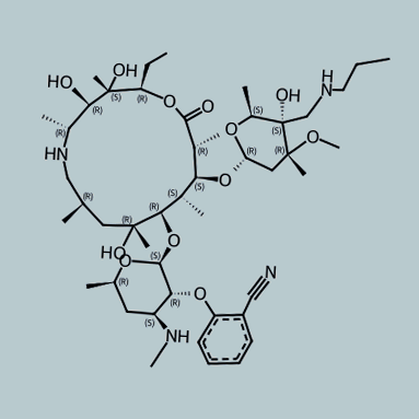 CCCNC[C@]1(O)[C@H](C)O[C@@H](O[C@H]2[C@H](C)[C@@H](O[C@@H]3O[C@H](C)C[C@H](NC)[C@H]3Oc3ccccc3C#N)[C@](C)(O)C[C@@H](C)CN[C@H](C)[C@@H](O)[C@](C)(O)[C@@H](CC)OC(=O)[C@@H]2C)C[C@@]1(C)OC